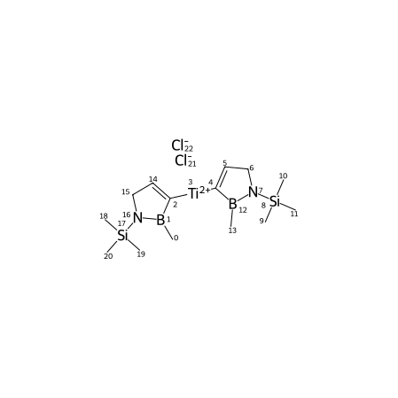 CB1[C]([Ti+2][C]2=CCN([Si](C)(C)C)B2C)=CCN1[Si](C)(C)C.[Cl-].[Cl-]